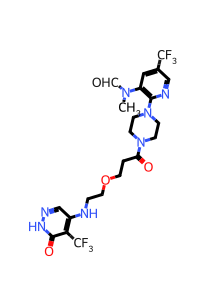 CN(C=O)c1cc(C(F)(F)F)cnc1N1CCN(C(=O)CCOCCNc2cn[nH]c(=O)c2C(F)(F)F)CC1